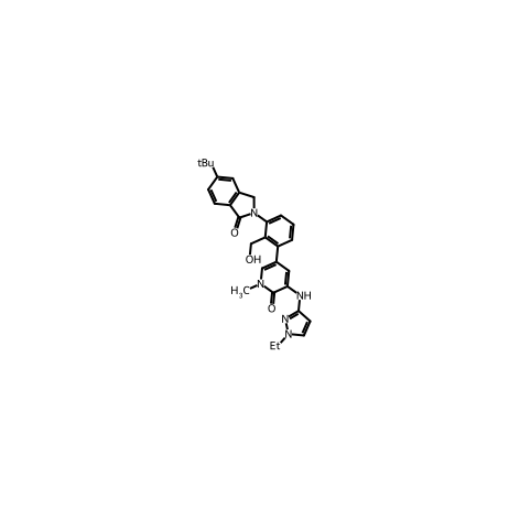 CCn1ccc(Nc2cc(-c3cccc(N4Cc5cc(C(C)(C)C)ccc5C4=O)c3CO)cn(C)c2=O)n1